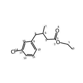 CCOC(=O)CC(C)Cc1cccc(Cl)c1